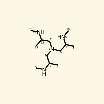 CNC(C)CN(CC(C)NC)CC(C)NC